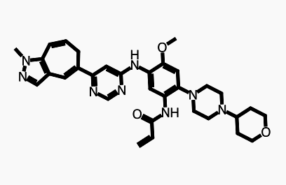 C=CC(=O)Nc1cc(Nc2cc(C3=Cc4cnn(C)c4C=CC3)ncn2)c(OC)cc1N1CCN(C2CCOCC2)CC1